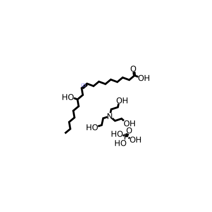 CCCCCCC(O)C/C=C\CCCCCCCC(=O)O.O=P(O)(O)O.OCCN(CCO)CCO